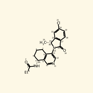 CCC(=O)N[C@@H]1CCCc2c1cncc2N1C(=O)c2ccc(Cl)cc2[C@H]1C